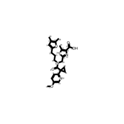 COc1ccc(C2(C(=O)N(CCCc3cc(C)c(C)o3)Cc3nc(C(=O)O)c(C)s3)CC2)nc1